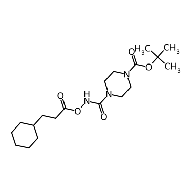 CC(C)(C)OC(=O)N1CCN(C(=O)NOC(=O)CCC2CCCCC2)CC1